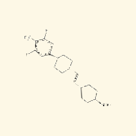 CCCCCC[C@H]1CC[C@H](C=C[C@H]2CC[C@H](c3cc(F)c(C(F)(F)F)c(F)c3)CC2)CC1